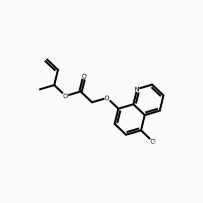 C=CC(C)OC(=O)COc1ccc(Cl)c2cccnc12